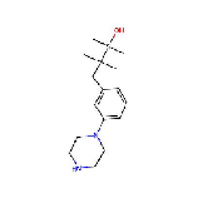 CC(C)(Cc1cccc(N2CCNCC2)c1)[Si](C)(C)O